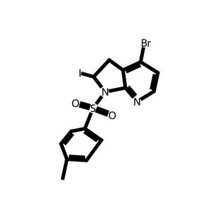 Cc1ccc(S(=O)(=O)N2c3nccc(Br)c3CC2I)cc1